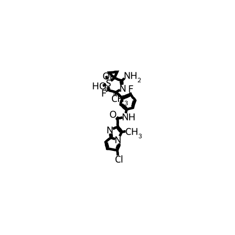 Cc1c(C(=O)Nc2ccc(F)c([C@@]3(C)N=C(N)C4(CC4)S(O)(O)[C@H]3F)c2)nc2ccc(Cl)cn12